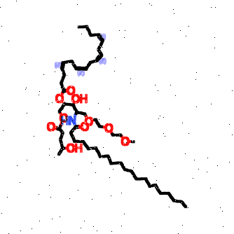 CCC/C=C\C/C=C\C/C=C\C/C=C\CCC(=O)OC(COC(=O)CCC(C)O)C(O)C(COCCOCCOC)NC(=O)CCCCCCCCCCCCCCCCCCCC